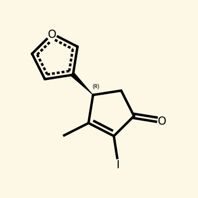 CC1=C(I)C(=O)C[C@@H]1c1ccoc1